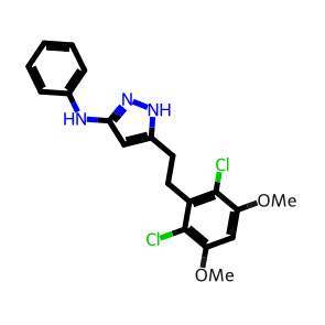 COc1cc(OC)c(Cl)c(CCc2cc(Nc3ccccc3)n[nH]2)c1Cl